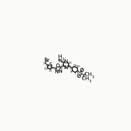 CC(C)S(=O)(=O)c1ccc(-c2cnc(N)c(-c3nnc(-c4ccc(CBr)s4)o3)n2)cc1